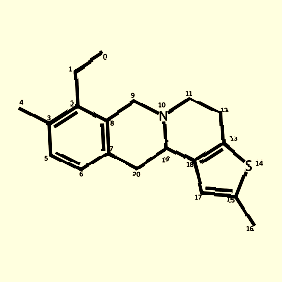 CCc1c(C)ccc2c1CN1CCc3sc(C)cc3C1C2